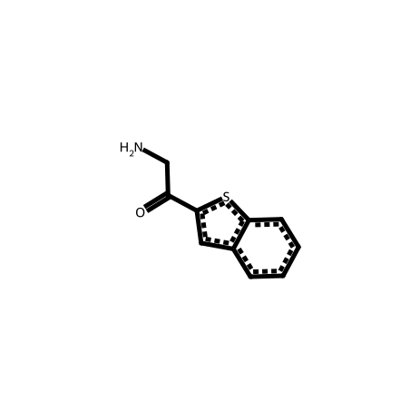 NCC(=O)c1cc2ccccc2s1